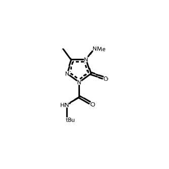 CNn1c(C)nn(C(=O)NC(C)(C)C)c1=O